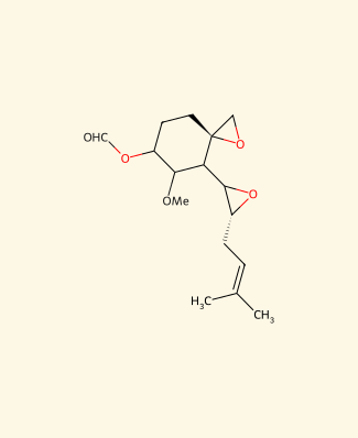 COC1C(OC=O)CC[C@]2(CO2)C1C1O[C@@H]1CC=C(C)C